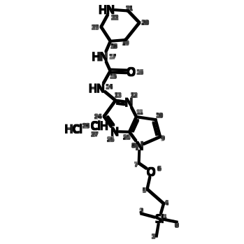 C[Si](C)(C)CCOCn1ccc2nc(NC(=O)NC3CCCNC3)cnc21.Cl.Cl